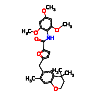 COc1cc(OC)c(NC(=O)c2ccc(Cc3cc4c(cc3C)OCCC4(C)C)o2)c(OC)c1